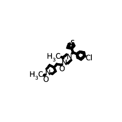 CC(=O)N1CCC(CC(=O)N2CCN(C(c3ccc(Cl)cc3)c3ccsc3)CC2C)CC1